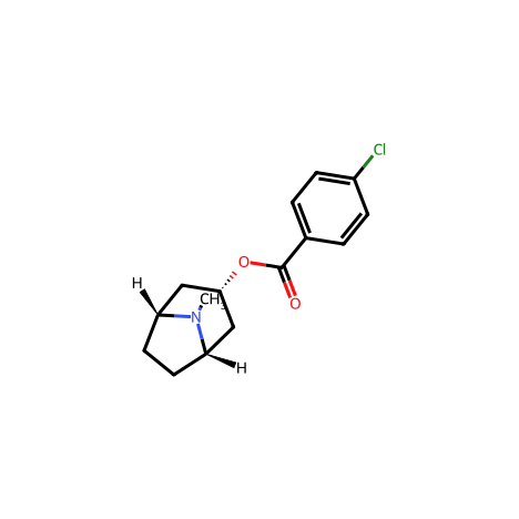 CN1[C@@H]2CC[C@H]1C[C@@H](OC(=O)c1ccc(Cl)cc1)C2